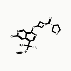 CC(C)(N=[N+]=[N-])c1cnc(OC2CN(C(=O)[C@@H]3CCOC3)C2)c2cnc(Cl)cc12